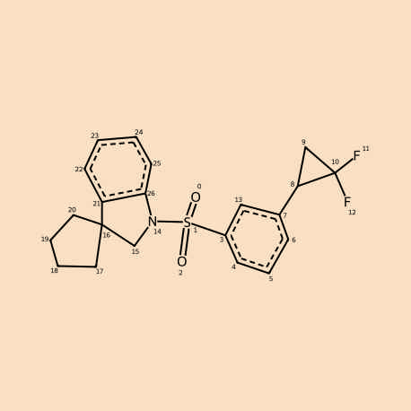 O=S(=O)(c1cccc(C2CC2(F)F)c1)N1CC2(CCCC2)c2ccccc21